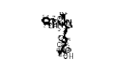 Cc1ccccc1COC(=O)Nc1c(C2CC2)nsc1C#Cc1cc2cc(C3(C(=O)O)CC3)oc2o1